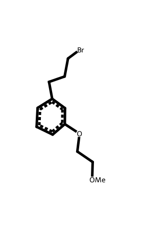 COCCOc1cccc(CCCBr)c1